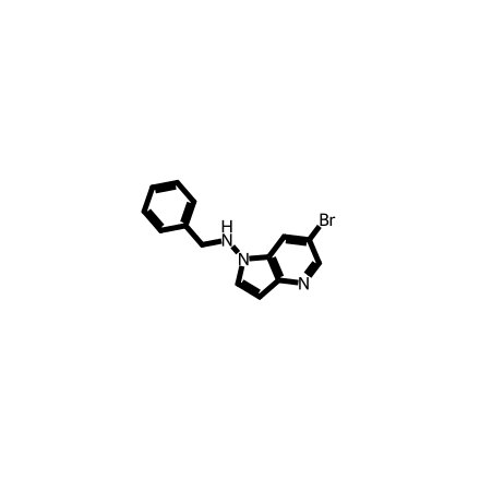 Brc1cnc2ccn(NCc3ccccc3)c2c1